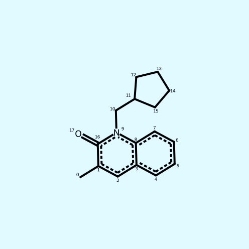 Cc1cc2ccccc2n(CC2CCCC2)c1=O